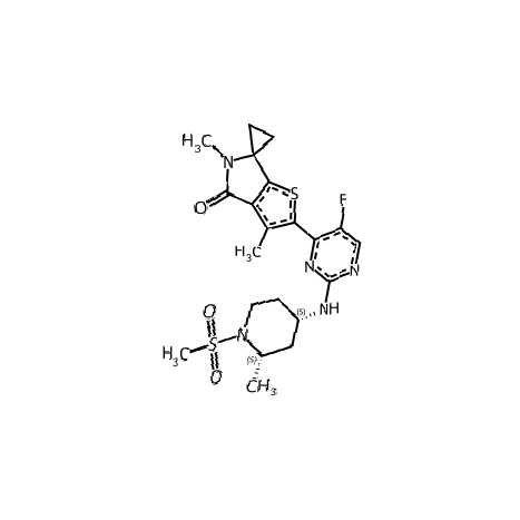 Cc1c(-c2nc(N[C@H]3CCN(S(C)(=O)=O)[C@@H](C)C3)ncc2F)sc2c1C(=O)N(C)C21CC1